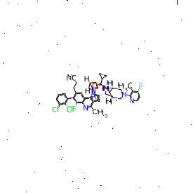 Cc1c(F)ccnc1N1C[C@@H]2C[C@H](C1)N(C(=O)C1CC1)[C@H]2c1cc2c(C)nc3c(F)c(-c4cccc(Cl)c4Cl)c(CCC#N)cc3c2n1[C@H]1[C@H]2CN[C@@H]1C2